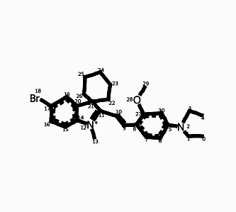 CCN(CC)c1ccc(/C=C/C2=[N+](C)c3ccc(Br)cc3C23CCCCC3)c(OC)c1